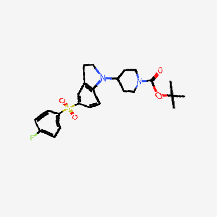 CC(C)(C)OC(=O)N1CCC(N2CCc3cc(S(=O)(=O)c4ccc(F)cc4)ccc32)CC1